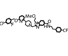 COCCn1c(CN2CCC(c3cccc(OCc4ccc(Cl)cc4F)n3)CC2)nc2cc(C(=O)NCCc3ccc(C(F)(F)F)cc3)ccc21